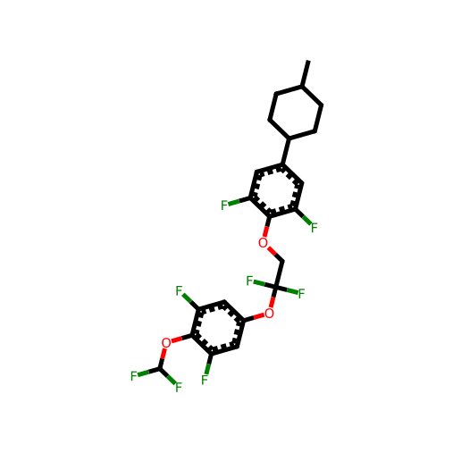 CC1CCC(c2cc(F)c(OCC(F)(F)Oc3cc(F)c(OC(F)F)c(F)c3)c(F)c2)CC1